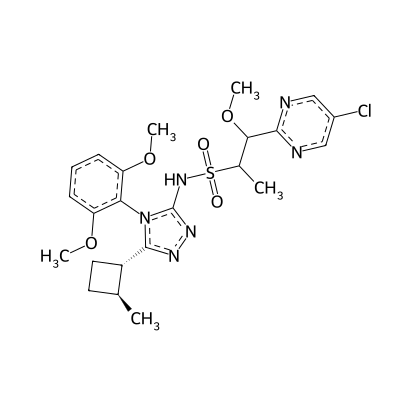 COc1cccc(OC)c1-n1c(NS(=O)(=O)C(C)C(OC)c2ncc(Cl)cn2)nnc1[C@H]1CC[C@@H]1C